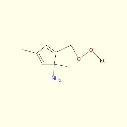 CCOOCC1=CC(C)=CC1(C)N